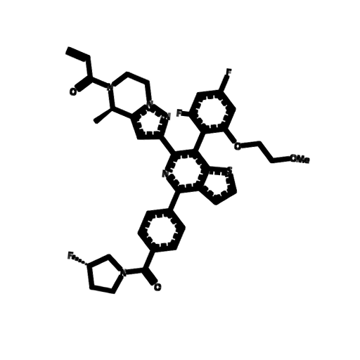 C=CC(=O)N1CCn2nc(-c3nc(-c4ccc(C(=O)N5CC[C@H](F)C5)cc4)c4ccsc4c3-c3c(F)cc(F)cc3OCCOC)cc2[C@H]1C